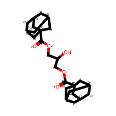 O=C(OCC(O)COC(=O)C12CC3CC(CC(C3)C1)C2)C12CC3CC(CC(C3)C1)C2